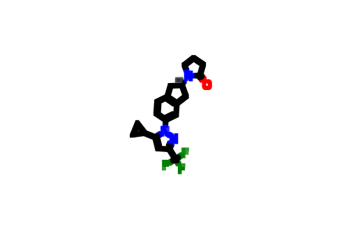 O=C1CCCN1[C@H]1Cc2ccc(-n3nc(C(F)(F)F)cc3C3CC3)cc2C1